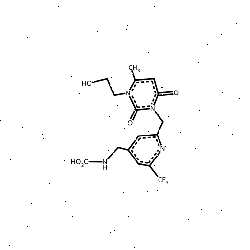 Cc1cc(=O)n(Cc2cc(CNC(=O)O)cc(C(F)(F)F)n2)c(=O)n1CCO